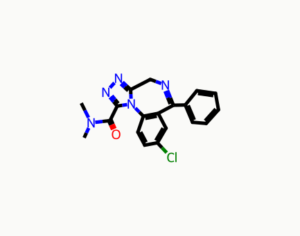 CN(C)C(=O)c1nnc2n1-c1ccc(Cl)cc1C(c1ccccc1)=NC2